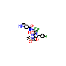 CC(C)(C)[S+]([O-])N[C@]1(C)COc2c1cc(C(O)(CNC(=O)c1ccc3[nH]ccc3c1)C(F)(F)F)nc2-c1ccc(F)cc1